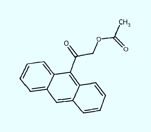 CC(=O)OCC(=O)c1c2ccccc2cc2ccccc12